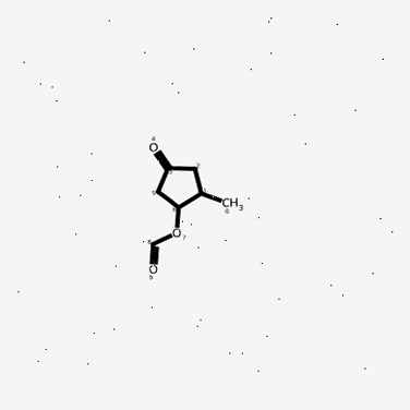 CC1CC(=O)CC1OC=O